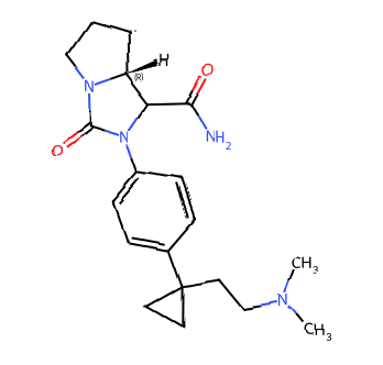 CN(C)CCC1(c2ccc(N3C(=O)N4CC[CH][C@@H]4C3C(N)=O)cc2)CC1